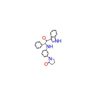 O=C(c1c[nH]c2ccccc12)C(Nc1cccc(N2CCCC2=O)c1)c1ccccc1